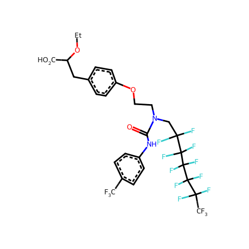 CCOC(Cc1ccc(OCCN(CC(F)(F)C(F)(F)C(F)(F)C(F)(F)C(F)(F)C(F)(F)F)C(=O)Nc2ccc(C(F)(F)F)cc2)cc1)C(=O)O